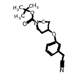 CC(C)(C)OC(=O)N1CCC(Oc2cccc(CC#N)c2)CC1